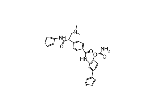 CN(C)CC(C(=O)Nc1ccccc1)c1ccc(C(=O)Nc2cc(-c3ccsc3)ccc2OC(N)=O)cc1